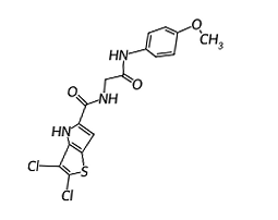 COc1ccc(NC(=O)CNC(=O)c2cc3sc(Cl)c(Cl)c3[nH]2)cc1